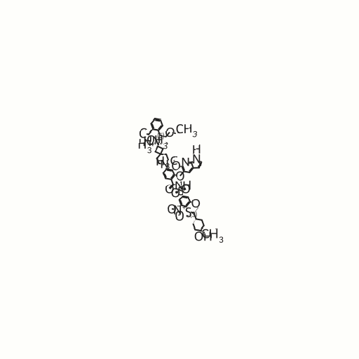 CCOC[C@@H](NC1CC2(CCN(c3ccc(C(=O)NS(=O)(=O)c4cc5c(c([N+](=O)[O-])c4)S[C@@H]([C@H]4CC[C@](C)(O)CC4)CO5)c(Oc4cc5cc[nH]c5nc4OC)c3)CC2)C1)c1ccccc1C(C)C